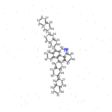 c1ccc2cc(-c3ccc4cc(-c5c6ccccc6c(-c6ccc7cc(-c8ccc9ccccc9c8)ccc7c6)c6c5cnc5ccccc56)ccc4c3)ccc2c1